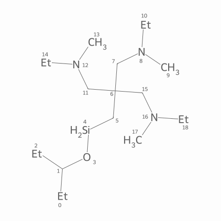 CCC(CC)O[SiH2]CC(CN(C)CC)(CN(C)CC)CN(C)CC